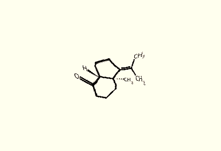 CC(C)=C1CC[C@H]2C(=O)CCC[C@]12C